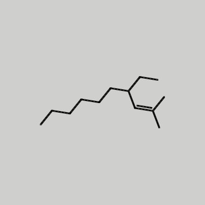 CCCCCCC(C=C(C)C)CC